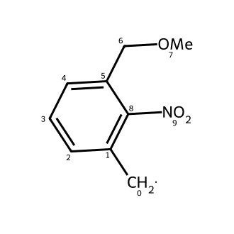 [CH2]c1cccc(COC)c1[N+](=O)[O-]